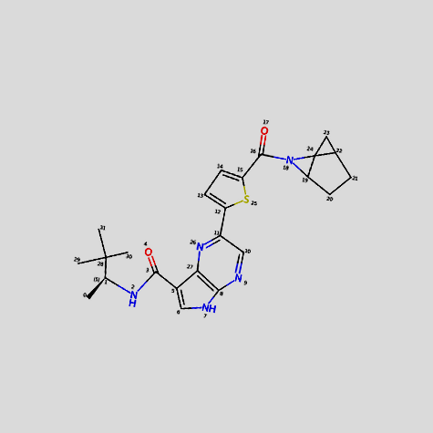 C[C@H](NC(=O)c1c[nH]c2ncc(-c3ccc(C(=O)N4C5CCC6CC654)s3)nc12)C(C)(C)C